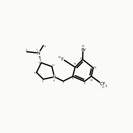 CN(C)[C@H]1CCN(Cc2cc(C(F)(F)F)cc(Br)c2F)C1